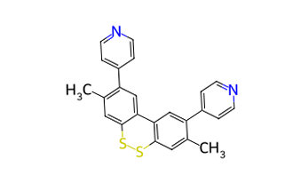 Cc1cc2c(cc1-c1ccncc1)-c1cc(-c3ccncc3)c(C)cc1SS2